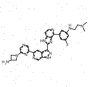 CN(C)CCNc1cc(F)cc(-c2nccc3[nH]c(-c4n[nH]c5cnc(-c6cncc(N7CC(N)C7)n6)cc45)nc23)c1